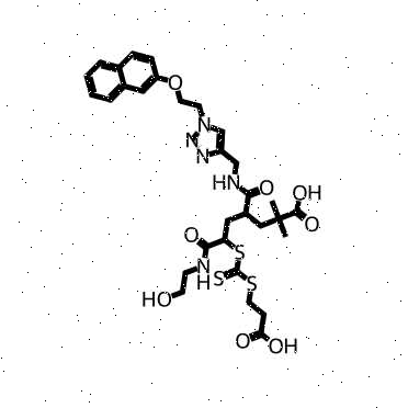 CC(C)(CC(CC(SC(=S)SCCC(=O)O)C(=O)NCCO)C(=O)NCc1cn(CCOc2ccc3ccccc3c2)nn1)C(=O)O